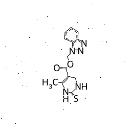 CC1=C(C(=O)OCn2nnc3ccccc32)CNC(=S)N1